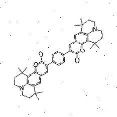 CC1(C)CCN2CCC(C)(C)c3c2c1cc1cc(-c2ccc(-c4cc5cc6c7c(c5oc4=O)C(C)(C)CCN7CCC6(C)C)cc2)c(=O)oc31